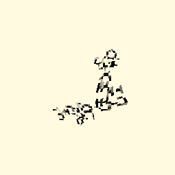 C=CC(=O)N1CCN2c3ncc(-c4ccc(OC)c(Nc5ncc(C(=O)Nc6c(C)cccc6Cl)s5)n4)cc3NC(=O)C2C1